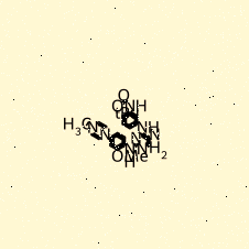 COc1cc(N2CCN(C)CC2)ccc1Nc1ncc(N)c(Nc2cccc(NC(=O)OC(C)(C)C)c2)n1